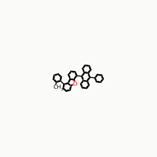 Cc1ccccc1-c1cccc2oc3c(-c4c5ccccc5c(-c5ccccc5)c5ccccc45)cccc3c12